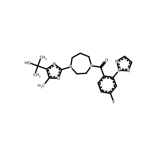 Cc1oc(N2CCCN(C(=O)c3ccc(F)cc3-n3nccn3)CC2)nc1C(C)(C)O